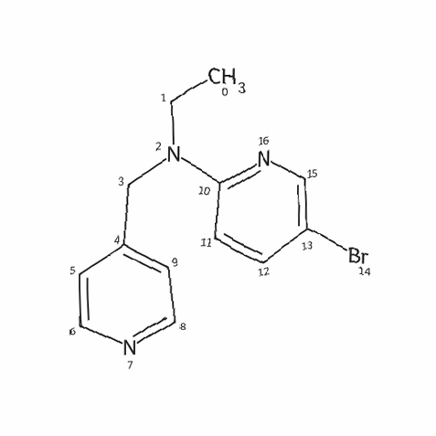 CCN(Cc1ccncc1)c1ccc(Br)cn1